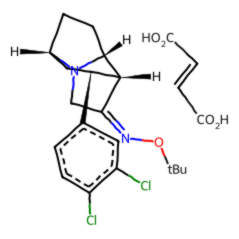 CC(C)(C)ON=C1CN2[C@H]3CC[C@@H]2[C@H]1[C@@H](c1ccc(Cl)c(Cl)c1)C3.O=C(O)/C=C/C(=O)O